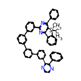 C[Si]1(C)c2ccccc2-c2nc(-c3cccc(-c4cccc(-c5cccc(-c6cccc(-c7nccnc7-c7ccccc7)c6)c5)c4)c3)nc(-c3ccccc3)c21